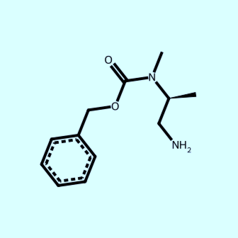 C[C@@H](CN)N(C)C(=O)OCc1ccccc1